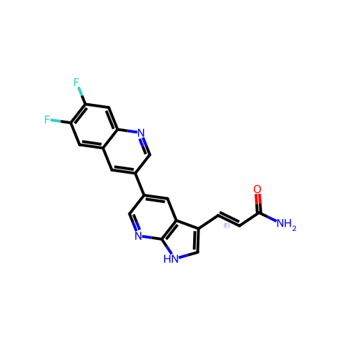 NC(=O)/C=C/c1c[nH]c2ncc(-c3cnc4cc(F)c(F)cc4c3)cc12